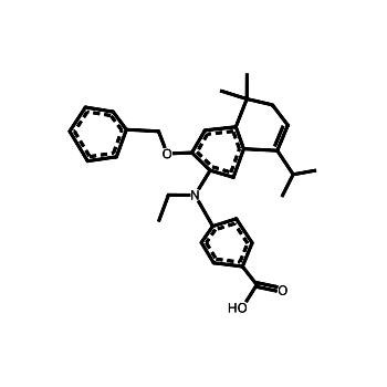 CCN(c1ccc(C(=O)O)cc1)c1cc2c(cc1OCc1ccccc1)C(C)(C)CC=C2C(C)C